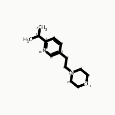 CC(C)c1ccc(CCN2CCOCC2)cn1